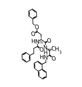 C[C@H](NC(=O)[C@H](CC(=O)OCc1ccccc1)NC(=O)CCc1ccccc1)C(=O)NCc1cccc2ccccc12